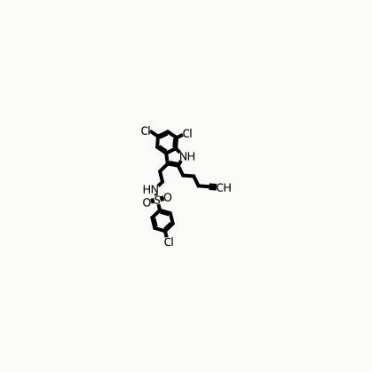 C#CCCCc1[nH]c2c(Cl)cc(Cl)cc2c1CCNS(=O)(=O)c1ccc(Cl)cc1